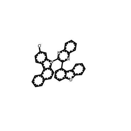 Clc1ccc2c3c4ccccc4ccc3n(-c3nc4ccccc4nc3-c3cccc4oc5ccccc5c34)c2c1